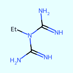 CCN(C(=N)N)C(=N)N